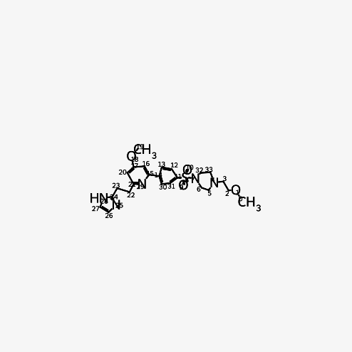 COCCN1CCN(S(=O)(=O)c2ccc(-c3cc(OC)cc(CCc4ncc[nH]4)n3)cc2)CC1